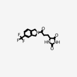 O=C1NC(=O)C(CCC(=O)N2Cc3ccc(C(F)(F)F)cc3C2)N1